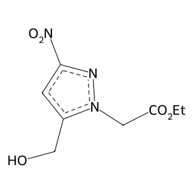 CCOC(=O)Cn1nc([N+](=O)[O-])cc1CO